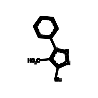 CC(C)(C)c1nnn(-c2ccccc2)c1C(=O)O